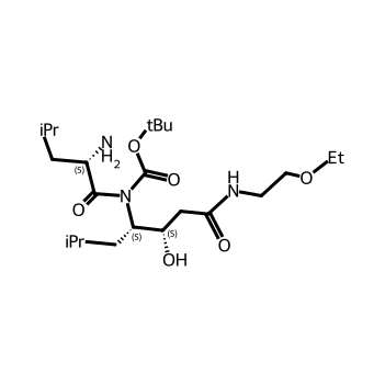 CCOCCNC(=O)C[C@H](O)[C@H](CC(C)C)N(C(=O)OC(C)(C)C)C(=O)[C@@H](N)CC(C)C